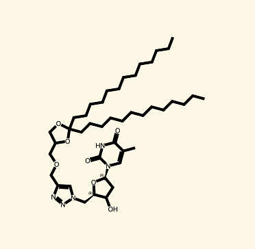 CCCCCCCCCCCCCC1(CCCCCCCCCCCCC)OCC(COCc2cn(C[C@H]3O[C@@H](n4cc(C)c(=O)[nH]c4=O)CC3O)nn2)O1